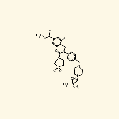 COC(=O)c1ccc(CN(C(=O)N2CCS(=O)(=O)CC2)c2ccc(CN3CCN(CC(C)(C)C)CC3)cc2)c(F)c1